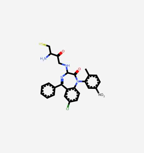 Cc1ccc([N+](=O)[O-])cc1N1C(=O)C(NCC(=O)C(N)CS)N=C(c2ccccc2)c2cc(Cl)ccc21